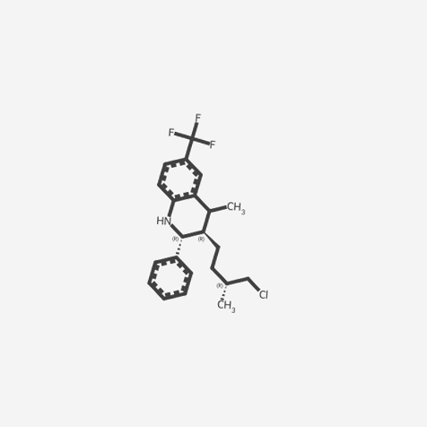 CC1c2cc(C(F)(F)F)ccc2N[C@@H](c2ccccc2)[C@@H]1CC[C@@H](C)CCl